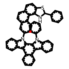 c1ccc(C2Nc3c(ccc4ccc5cc(-n6c7ccccc7c7c8ccccc8c8c9ccccc9n(-c9ccccc9)c8c76)ccc5c34)S2)cc1